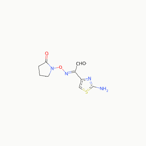 Nc1nc(C([C]=O)=NON2CCCC2=O)cs1